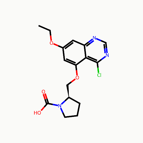 CCOc1cc(OC[C@H]2CCCN2C(=O)O)c2c(Cl)ncnc2c1